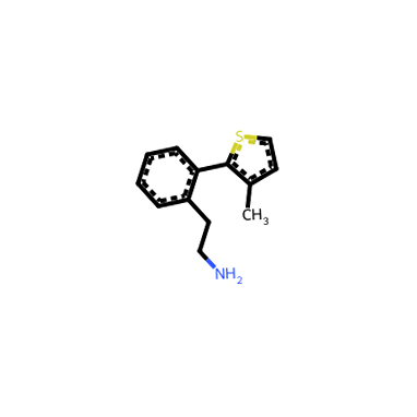 Cc1ccsc1-c1ccccc1CCN